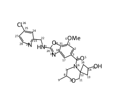 COc1cc(C(=O)N2CC(C)OCC23CC(O)C3)cc2nc(NCc3cc(Cl)ccn3)oc12